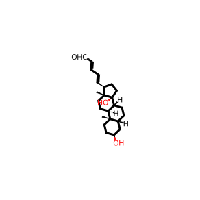 C[C@]12CC[C@H](O)C[C@H]1CC[C@@H]1[C@@H]2CC[C@]2(C)[C@@H](/C=C/C=C/C=O)CC[C@]12O